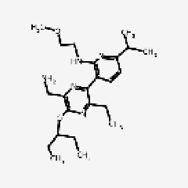 CCc1nc(OC(CC)CC)c(CN)nc1-c1ccc(C(C)C)nc1NCCOC